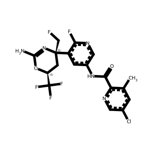 Cc1cc(Cl)cnc1C(=O)Nc1cnc(F)c([C@]2(CF)C[C@@H](C(F)(F)F)OC(N)=N2)c1